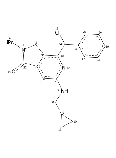 CC(C)N1Cc2c(nc(NCC3CC3)nc2C(Cl)c2ccccc2)C1=O